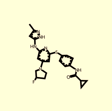 Cc1cc(Nc2cc(N3CCC(F)C3)cc(Sc3ccc(NC(=O)C4CC4)cc3)n2)[nH]n1